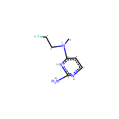 CN(CCF)c1ccnc(N)n1